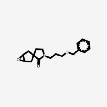 O=C1N(CCCOCc2ccccc2)CCC12CC1OC1C2